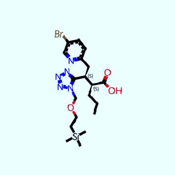 CCC[C@H](C(=O)O)[C@H](Cc1ccc(Br)cn1)c1nnnn1COCC[Si](C)(C)C